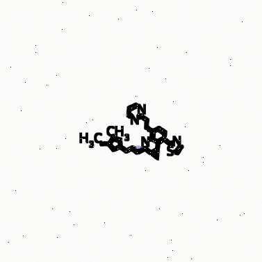 CCC1CC(C/C=C/C2=Nc3c(CCc4ncccn4)ccc(-c4nccs4)c3C3CC23)C=C1C